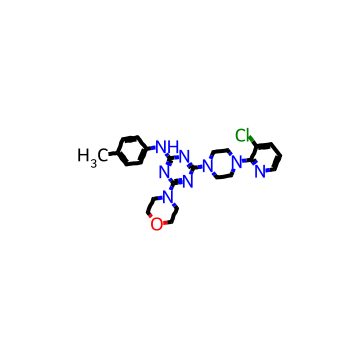 Cc1ccc(Nc2nc(N3CCOCC3)nc(N3CCN(c4ncccc4Cl)CC3)n2)cc1